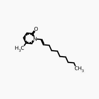 CCCCCCCC/C=C/n1cc(C)ccc1=O